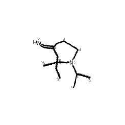 CC(C)N1CCC(=N)C1(C)C